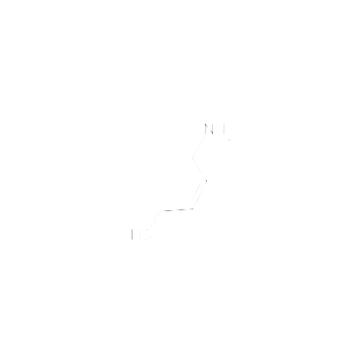 NC/C=C\CS